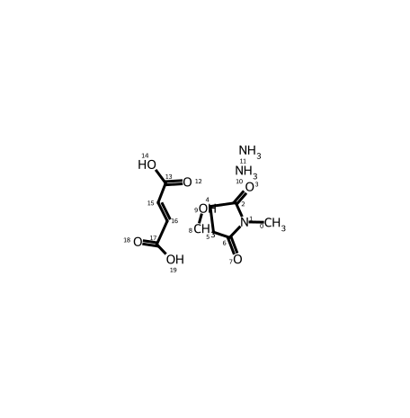 CN1C(=O)CCC1=O.CO.N.N.O=C(O)C=CC(=O)O